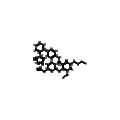 CCCCc1nc(CC)c(Cc2cccc(CO)c2)c(OCc2ccc(-c3ccccc3-c3nnn[nH]3)cc2)n1